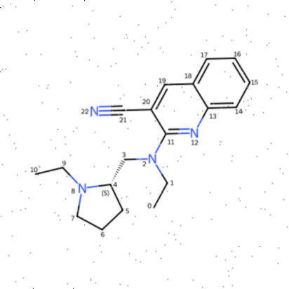 CCN(C[C@@H]1CCCN1CC)c1nc2ccccc2cc1C#N